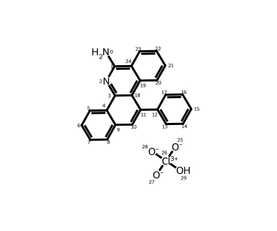 Nc1nc2c3ccccc3cc(-c3ccccc3)c2c2ccccc12.[O-][Cl+3]([O-])([O-])O